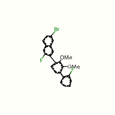 COc1c(-c2ccccc2F)ccc(-c2cc3cc(Br)ccc3cc2F)c1OC